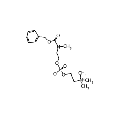 CN(CCOP(=O)([O-])OCC[N+](C)(C)C)C(=O)OCc1ccccc1